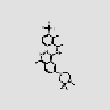 Cc1c(C(C)Nc2nnc(C)c3ccc(N4CCN(C)C5(CC5)C4)cc23)cccc1C(F)(F)F